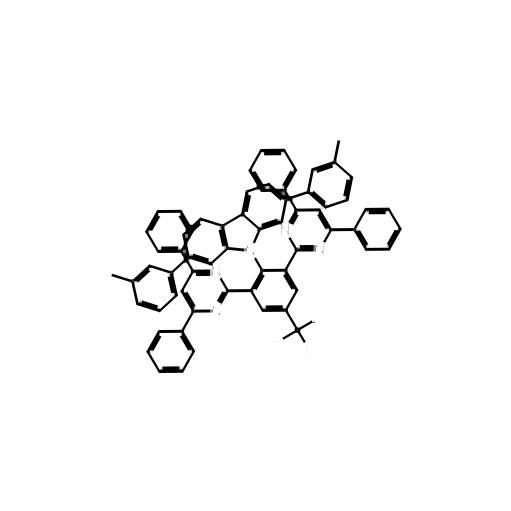 Cc1cccc(-c2ccc3c4ccc(-c5cccc(C)c5)cc4n(-c4c(-c5nc(-c6ccccc6)cc(-c6ccccc6)n5)cc(C(F)(F)F)cc4-c4nc(-c5ccccc5)cc(-c5ccccc5)n4)c3c2)c1